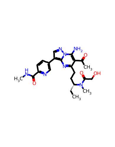 CC[C@H](CCc1nc2c(-c3ccc(C(=O)NC)nc3)cnn2c(N)c1C(C)=O)N(C)C(=O)CO